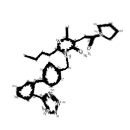 CCCCc1nc(C)c(CC(=O)N2CCCC2)c(=O)n1Cc1ccc(-c2ccccc2-c2nnn[nH]2)cc1